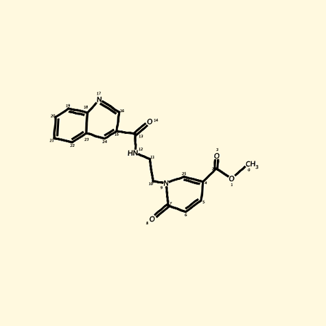 COC(=O)c1ccc(=O)n(CCNC(=O)c2cnc3ccccc3c2)c1